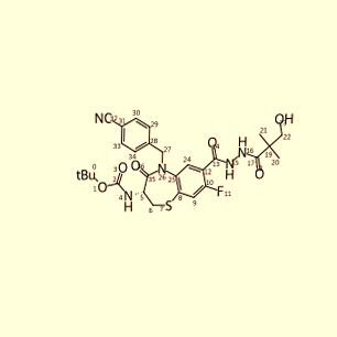 CC(C)(C)OC(=O)N[C@H]1CSc2cc(F)c(C(=O)NNC(=O)C(C)(C)CO)cc2N(Cc2ccc(C#N)cc2)C1=O